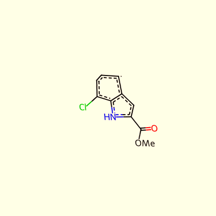 COC(=O)c1cc2[c]ccc(Cl)c2[nH]1